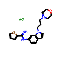 Cl.N=C(Nc1ccc2ccn(CCCN3CCOCC3)c2c1)c1cccs1